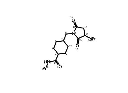 CC(C)NC(=O)C1CCC(CN2C(=O)CC(C(C)C)C2=O)CC1